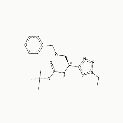 CCn1nnc([C@H](COCc2ccccc2)NC(=O)OC(C)(C)C)n1